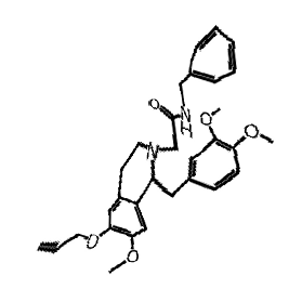 C=CCOc1cc2c(cc1OC)C(Cc1ccc(OC)c(OC)c1)N(CC(=O)NCc1ccccc1)CC2